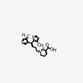 Cc1cscc1C(=CCCN1CCC=C(C(=O)O)C1)c1sccc1C